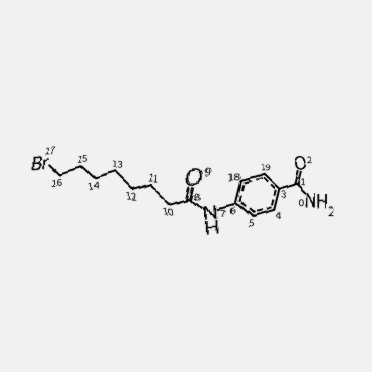 NC(=O)c1ccc(NC(=O)CCCCCCCBr)cc1